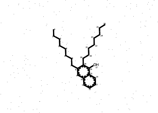 CCCCCCCCc1cc2ccccc2c(O)c1CCCCCCCC